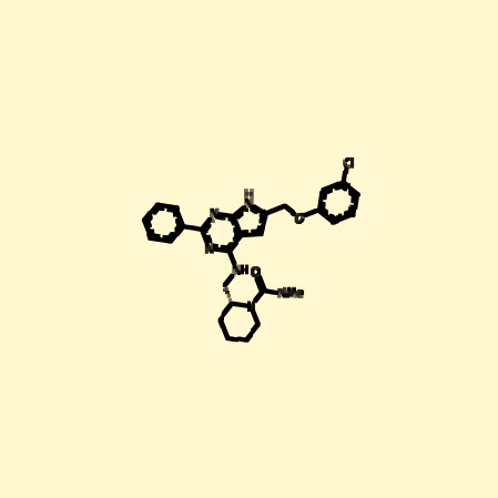 CNC(=O)N1CCCC[C@@H]1CNc1nc(-c2ccccc2)nc2[nH]c(COc3cccc(Cl)c3)cc12